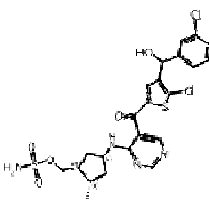 C[C@H]1C[C@H](Nc2ncncc2C(=O)c2cc(C(O)c3cccc(Cl)c3)c(Cl)s2)C[C@@H]1COS(N)(=O)=O